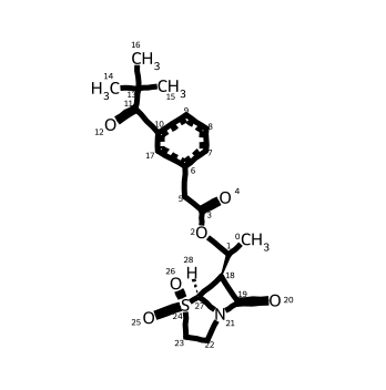 CC(OC(=O)Cc1cccc(C(=O)C(C)(C)C)c1)[C@H]1C(=O)N2CCS(=O)(=O)[C@@H]12